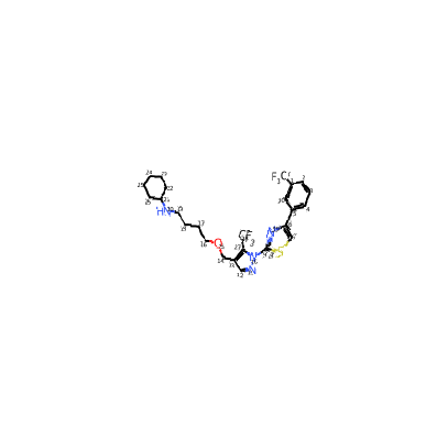 FC(F)(F)c1cccc(-c2csc(-n3ncc(COCCCCNC4CCCCC4)c3C(F)(F)F)n2)c1